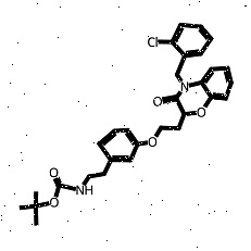 CC(C)(C)OC(=O)NCCc1cccc(OCCC2Oc3ccccc3N(Cc3ccccc3Cl)C2=O)c1